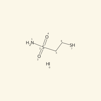 I.NS(=O)(=O)CCS